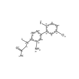 CC(=O)C(=O)CN(C)c1nnc(-c2cc(Cl)ccc2F)cc1N